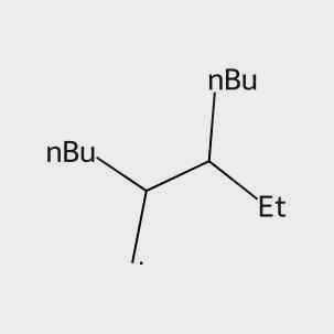 [CH2]C(CCCC)C(CC)CCCC